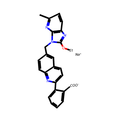 CCOc1nc2ccc(C)nc2n1Cc1ccc2nc(-c3ccccc3C(=O)[O-])ccc2c1.[Na+]